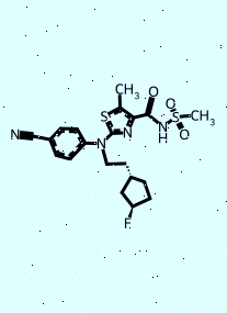 Cc1sc(N(CC[C@@H]2CC[C@@H](F)C2)c2ccc(C#N)cc2)nc1C(=O)NS(C)(=O)=O